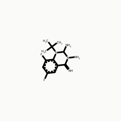 CC(C)(C)N1c2c(F)cc(F)cc2C(=N)N(N)C1N